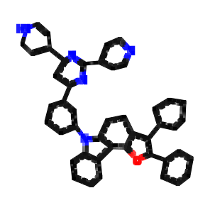 C1=CC(c2cc(-c3cccc(-n4c5ccccc5c5c6oc(-c7ccccc7)c(-c7ccccc7)c6ccc54)c3)nc(-c3ccncc3)n2)=CCN1